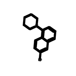 [O]c1ccc2c(N3CCCCC3)cccc2c1